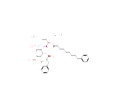 CCCCCCCCCCCCC(OC(=O)CCCCCCCCc1ccccc1)C(=O)N[C@H]1C(O)O[C@H](CO)[C@@H](OS(=O)(=O)O)[C@@H]1OC(=O)CCc1ccccc1.[NaH]